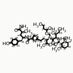 CCCC(=O)OCN(C(=O)[C@@H](NC(=O)[C@H]1[C@@H](C)CCCN1C)C(C)CC)[C@H](CCc1nc(C(=O)N[C@@H](Cc2ccc(O)cc2)C[C@H](C)C(N)=O)cs1)C(C)C